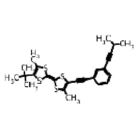 CC1=C(C#Cc2cccc(C#CC(C)C)c2)S/C(=C2\SC(C)=C(C(C)(C)C)S2)S1